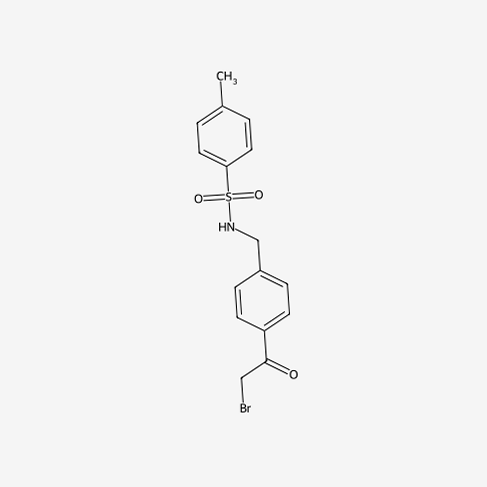 Cc1ccc(S(=O)(=O)NCc2ccc(C(=O)CBr)cc2)cc1